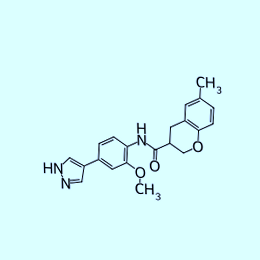 COc1cc(-c2cn[nH]c2)ccc1NC(=O)C1COc2ccc(C)cc2C1